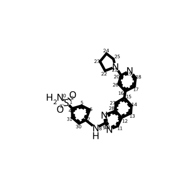 NS(=O)(=O)c1ccc(Nc2ncc3ccc(-c4ccnc(N5CCCC5)c4)cc3n2)cc1